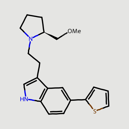 COC[C@@H]1CCCN1CCc1c[nH]c2ccc(-c3cccs3)cc12